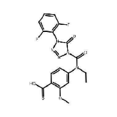 CCN(C(=O)n1nnn(-c2c(F)cccc2F)c1=O)c1ccc(C(=O)O)c(OC)c1